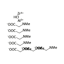 CNCC(=O)[O-].CNCC(=O)[O-].CNCC(=O)[O-].CNCC(=O)[O-].CNCC(=O)[O-].CNCC(=O)[O-].CNCC(=O)[O-].Cl.[Al+3].[Zr+4]